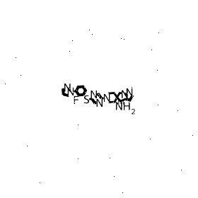 N[C@@H]1c2ccnn2CC12CCN(c1cnc(Sc3cccc(-n4cccn4)c3F)cn1)CC2